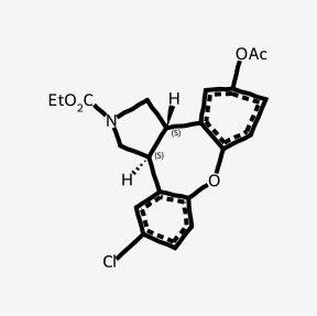 CCOC(=O)N1C[C@@H]2c3cc(Cl)ccc3Oc3ccc(OC(C)=O)cc3[C@H]2C1